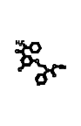 CN(C(=O)c1cc(Cl)cc(OCCN(C(=O)OC(C)(C)C)c2ccncc2)c1)C1CCCCC1